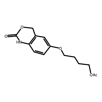 CC(=O)OCCCCOc1ccc2c(c1)COC(=O)N2